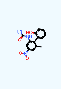 Cc1cc([N+](=O)[O-])cc(NC(N)=O)c1-c1ccccc1O